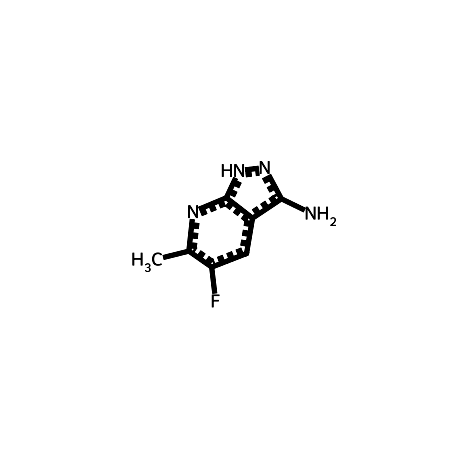 Cc1nc2[nH]nc(N)c2cc1F